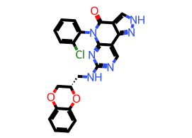 O=c1c2c[nH]nc2c2cnc(NC[C@H]3COc4ccccc4O3)nc2n1-c1ccccc1Cl